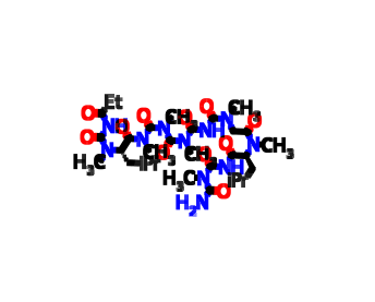 CCC(=O)NC(=O)N(C)[C@@H](CC(C)C)C(=O)N(C)C(=O)N(C)C(=O)N(C)C(=O)NC(=O)N(C)CC(=O)N(C)[C@@H](CC(C)C)C(=O)NC(=O)N(C)C(N)=O